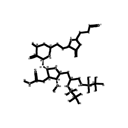 C=C1CC(CCC=O)OC1CCC1CC(C)C(=C)[C@@H](C[C@@H]2OC(CC(CO[Si](C)(C)C(C)(C)C)O[Si](C)(C)C(C)(C)C)[C@H](OC)C2CC(=O)OC)O1